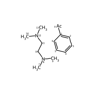 CC(=O)c1ccccc1.CN(C)CCN(C)C